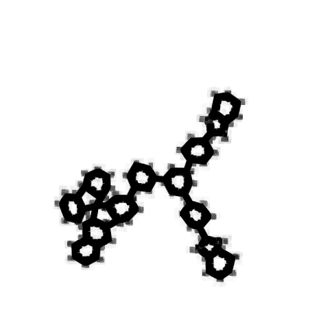 c1cc(-c2cc(-c3ccc(-c4nc5ccccc5o4)cc3)cc(-c3ccc(-c4nc5ccccc5o4)cc3)c2)cc(-c2ccc3c(c2)C2(c4ccccc4-c4ccccc42)c2cc4ccccc4cc2-3)c1